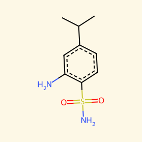 CC(C)c1ccc(S(N)(=O)=O)c(N)c1